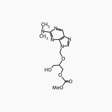 COC(=O)OCC(CO)OCn1cnc2cnc(N(C)C)nc21